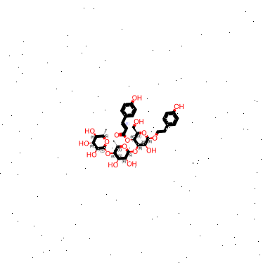 C[C@@H]1O[C@@H](O[C@@H]2[C@@H](O)[C@@H](O)[C@H](O[C@@H]3[C@@H](O)[C@H](OCCc4ccc(O)cc4)O[C@H](CO)[C@H]3OC(=O)/C=C/c3ccc(O)cc3)O[C@H]2C)[C@H](O)[C@H](O)[C@H]1O